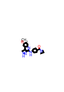 COc1ccc2nc(Nc3ccc(C(=O)N4CCC4)cc3)c3n[nH]cc3c2c1